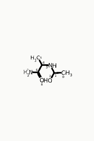 CC(O)NC(C)C(N)=O